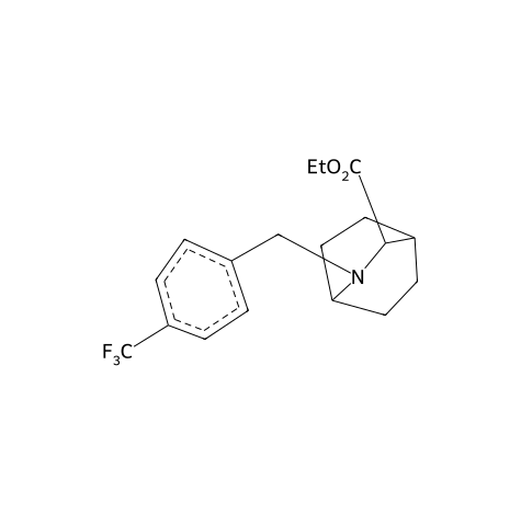 CCOC(=O)C1C2CCC(CC2)N1Cc1ccc(C(F)(F)F)cc1